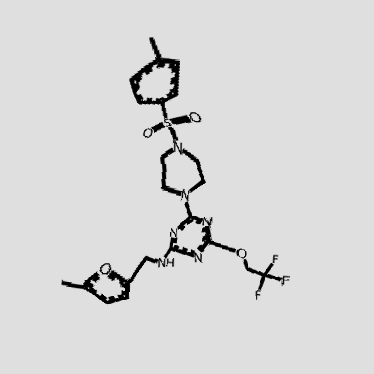 Cc1ccc(S(=O)(=O)N2CCN(c3nc(NCc4ccc(C)o4)nc(OCC(F)(F)F)n3)CC2)cc1